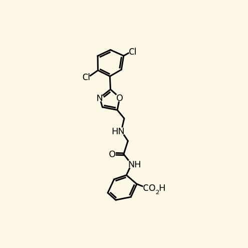 O=C(CNCc1cnc(-c2cc(Cl)ccc2Cl)o1)Nc1ccccc1C(=O)O